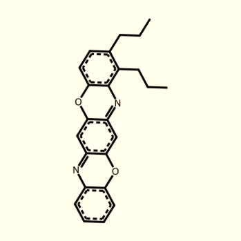 CCCc1ccc2c(c1CCC)N=c1cc3c(cc1O2)=Nc1ccccc1O3